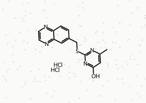 Cc1cc(O)nc(SCc2ccc3nccnc3c2)n1.Cl.Cl